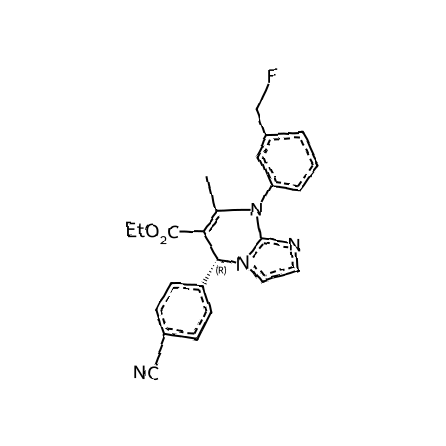 CCOC(=O)C1=C(C)N(c2cccc(CF)c2)c2nccn2[C@@H]1c1ccc(C#N)cc1